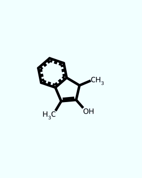 CC1=C(O)C(C)c2ccccc21